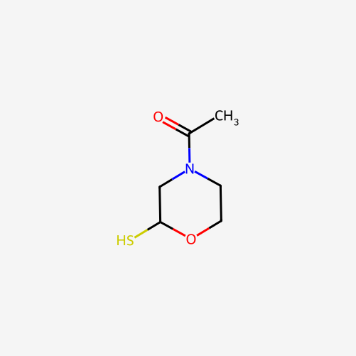 CC(=O)N1CCOC(S)C1